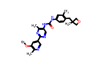 CCOc1cc(-c2ncc(NC(=O)Nc3ccc(CC4(C)COC4)c(C(F)(F)F)c3)c(C)n2)cnc1C